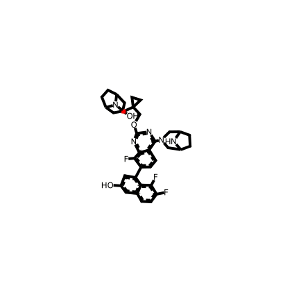 Oc1cc(-c2ccc3c(N4CC5CCC(C4)N5)nc(OCC4(CN5C6CCC5CC(O)C6)CC4)nc3c2F)c2c(F)c(F)ccc2c1